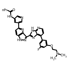 CCCC(=O)Nc1cncc(-c2ccc3[nH]nc(-c4nc5c(-c6cc(F)cc(OCCN(C)C)c6)ccnc5[nH]4)c3n2)c1